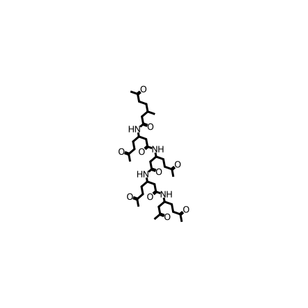 CC(=O)CCC(C)CC(=O)NC(CCC(C)=O)CC(=O)NC(CCC(C)=O)CC(=O)NC(CCC(C)=O)CC(=O)NC(CCC(C)=O)CC(C)=O